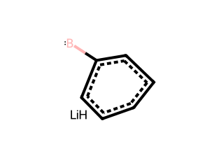 [B]c1ccccc1.[LiH]